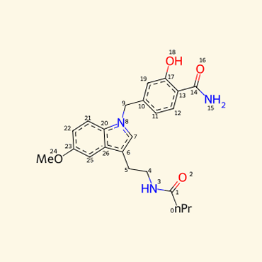 CCCC(=O)NCCc1cn(Cc2ccc(C(N)=O)c(O)c2)c2ccc(OC)cc12